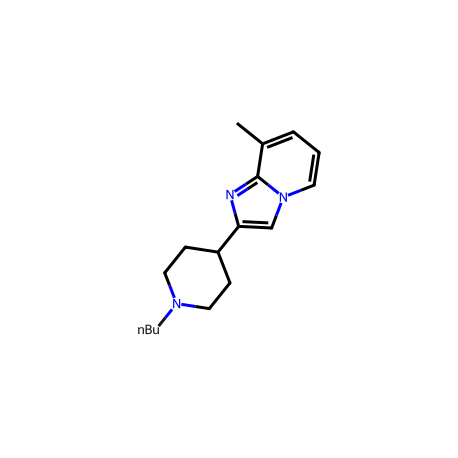 CCCCN1CCC(c2cn3cccc(C)c3n2)CC1